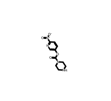 O=C(Oc1ccc([N+](=O)[O-])nc1)N1CCNCC1